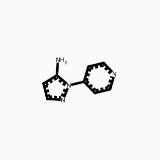 Nc1ccnn1-c1ccncc1